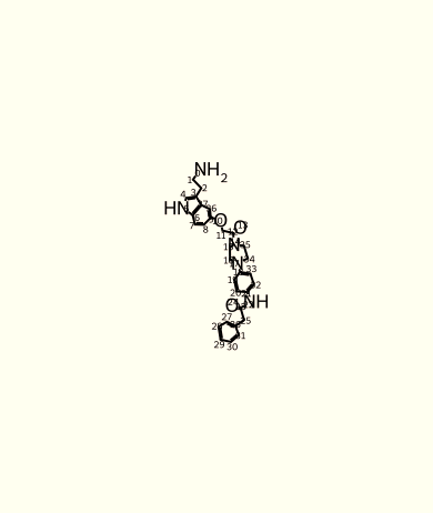 NCCc1c[nH]c2ccc(OCC(=O)N3CCN(c4ccc(NC(=O)Cc5ccccc5)cc4)CC3)cc12